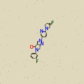 O=C1c2cn(-c3ccc(N4CC[C@H](F)C4)nc3)nc2CN1c1cccc(F)c1